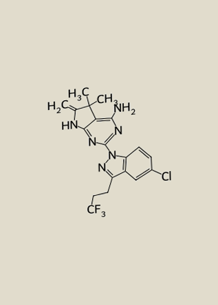 C=C1Nc2nc(-n3nc(CCC(F)(F)F)c4cc(Cl)ccc43)nc(N)c2C1(C)C